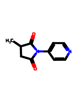 CC1CC(=O)N(c2ccncc2)C1=O